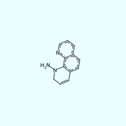 NN1CC=Cc2ccc3cccnc3c21